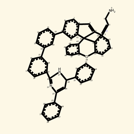 NC/C=C\C1=Cc2ccc(-c3cccc(-c4cccc(C5=NC(c6ccccc6)=CC(c6ccccc6)N5)c4)c3)cc2C12c1ccccc1Oc1ccccc12